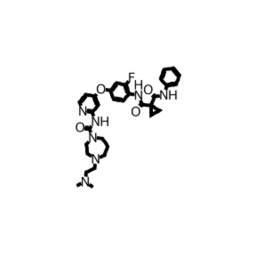 CN(C)CCN1CCCN(C(=O)Nc2cc(Oc3ccc(NC(=O)C4(C(=O)Nc5ccccc5)CC4)c(F)c3)ccn2)CC1